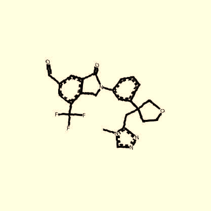 Cn1cnnc1CC1(c2cccc(N3Cc4c(cc(C=O)cc4C(F)(F)F)C3=O)c2)CCOC1